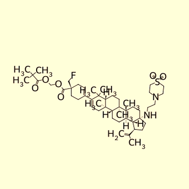 C=C(C)[C@@H]1CC[C@]2(NCCN3CCS(=O)(=O)CC3)CC[C@]3(C)[C@H](CC[C@@H]4[C@@]5(C)CC=C(C6=CC[C@@](CF)(C(=O)OCOC(=O)C(C)(C)C)CC6)C(C)(C)[C@@H]5CC[C@]43C)[C@@H]12